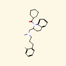 COc1ccccc1CCCN(C)CC1CCc2ccccc2N1C(=O)C1CCCCC1